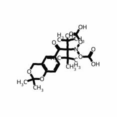 CC1(C)OCc2cc(C(=O)C(N(OC(=O)O)OC(=O)O)(C(C)(C)C)C(C)(C)C)ccc2O1